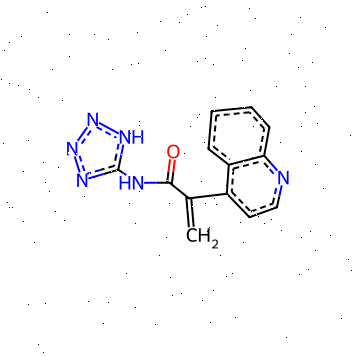 C=C(C(=O)Nc1nnn[nH]1)c1ccnc2ccccc12